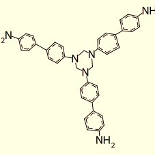 Nc1ccc(-c2ccc(N3CN(c4ccc(-c5ccc(N)cc5)cc4)CN(c4ccc(-c5ccc(N)cc5)cc4)C3)cc2)cc1